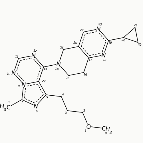 COCCCc1nc(C)n2ncnc(N3CCc4nc(C5CC5)ncc4C3)c12